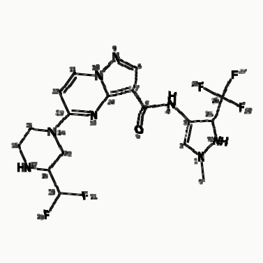 CN1C=C(NC(=O)c2cnn3ccc(N4CCNC(C(F)F)C4)nc23)C(C(F)(F)F)N1